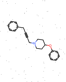 C(#CCN1CCC(Oc2ccccc2)CC1)Cc1cc[c]cc1